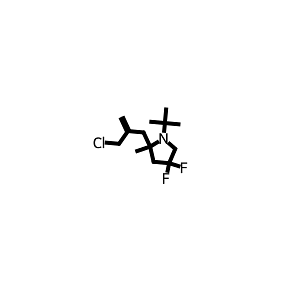 C=C(CCl)CC1(C)CC(F)(F)CN1C(C)(C)C